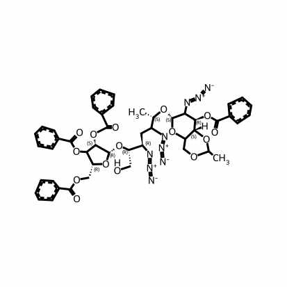 CC1OCC2O[C@H](O[C@@H](C)C(C[C@@H](N=[N+]=[N-])[C@H](CO)O[C@@H]3O[C@H](COC(=O)c4ccccc4)C(OC(=O)c4ccccc4)[C@@H]3OC(=O)c3ccccc3)N=[N+]=[N-])C(N=[N+]=[N-])[C@@H](OC(=O)c3ccccc3)[C@@H]2O1